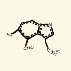 CCOC(=O)c1cnn2ccc(O)c(C=O)c12